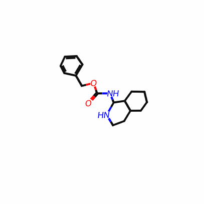 O=C(NC1NCCC2CCCCC21)OCc1ccccc1